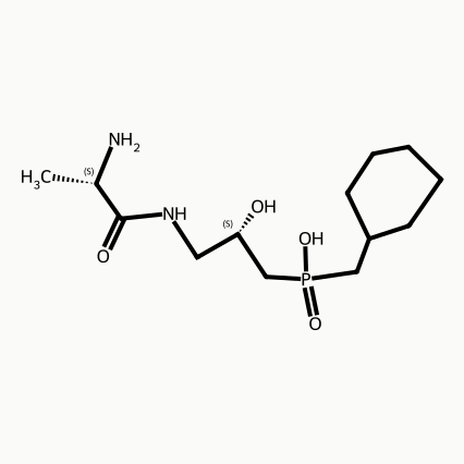 C[C@H](N)C(=O)NC[C@H](O)CP(=O)(O)CC1CCCCC1